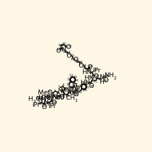 CC[C@H](C)[C@@H]([C@@H](CC(=O)N1CCCC1[C@H](OC)[C@@H](C)C(=O)N[C@@H](Cc1ccccc1)C(=O)NS(=O)(=O)Cc1ccc(NC(=O)[C@H](CCCNC(N)=O)NC(=O)[C@@H](NC(=O)CCOCCOCCOCCN2C(=O)C=CC2=O)C(C)C)cc1)OC)N(C)C(=O)[C@@H](NC(=O)[C@H](C(C)C)N(C)C)C(C)C